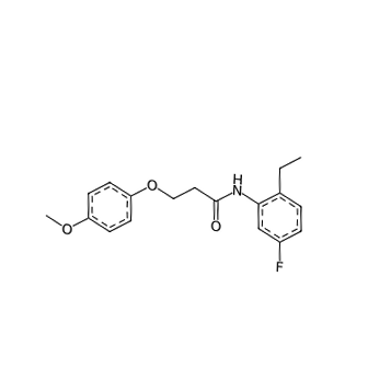 CCc1ccc(F)cc1NC(=O)CCOc1ccc(OC)cc1